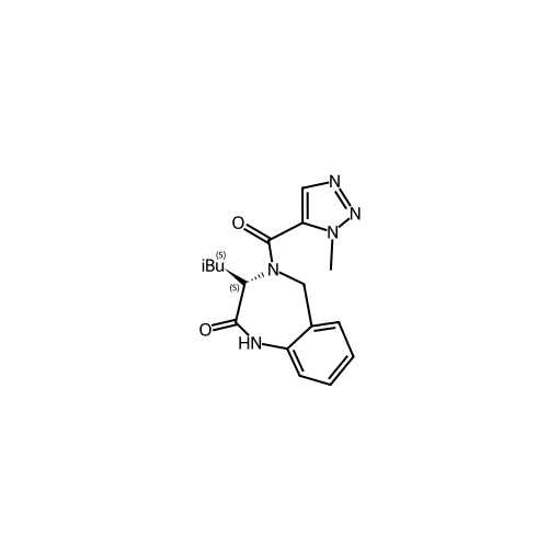 CC[C@H](C)[C@H]1C(=O)Nc2ccccc2CN1C(=O)c1cnnn1C